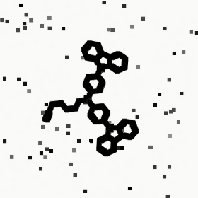 C#C/C=C\C=C/CN(c1ccc(-n2c3ccccc3c3ccccc32)cc1)c1ccc(-n2c3ccccc3c3ccccc32)cc1